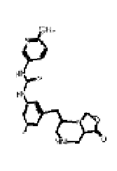 Cc1ccc(NC(=O)Nc2cc(F)cc(CC3CNCC4C(=O)OCN34)c2)cn1